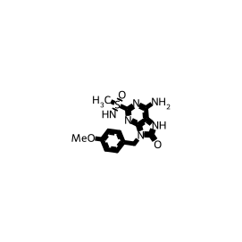 COc1ccc(Cn2c(=O)[nH]c3c(N)nc(S(C)(=N)=O)nc32)cc1